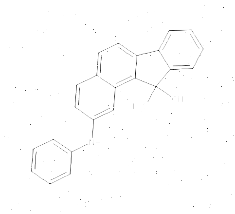 CC1(C)c2ccccc2-c2ccc3ccc(Nc4ccccc4)cc3c21